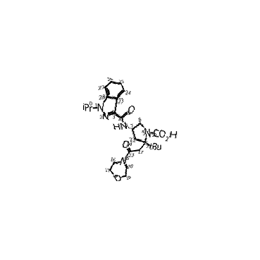 CC(C)n1nc(C(=O)N[C@@H]2CN(C(=O)O)[C@@](CC(=O)N3CCOCC3)(C(C)(C)C)C2)c2ccccc21